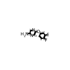 Nc1cnc(Oc2ccc(F)c(F)c2)cn1